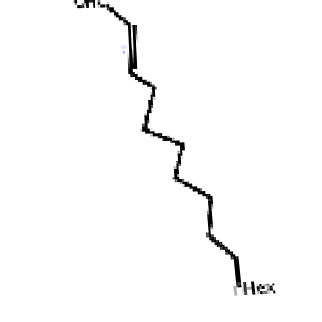 CCCCCCCCCCCCC/C=C/[C]=O